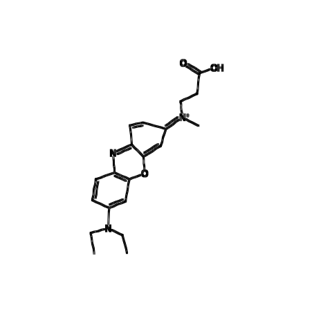 CCN(CC)c1ccc2nc3cc/c(=[N+](/C)CCC(=O)O)cc-3oc2c1